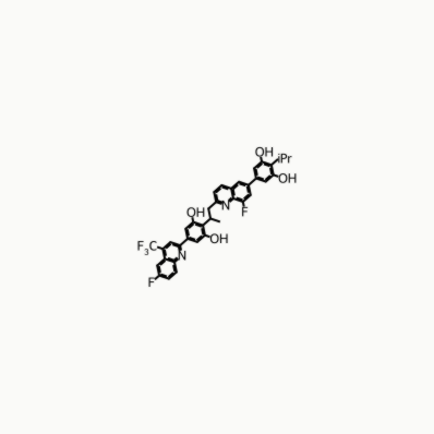 CC(C)c1c(O)cc(-c2cc(F)c3nc(CC(C)c4c(O)cc(-c5cc(C(F)(F)F)c6cc(F)ccc6n5)cc4O)ccc3c2)cc1O